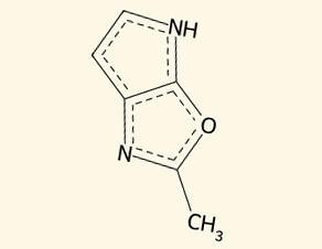 Cc1nc2cc[nH]c2o1